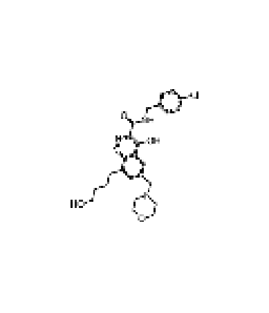 O=C(NCc1ccc(Cl)cc1)c1nnc2c(CCCCO)cc(CN3CCOCC3)cc2c1O